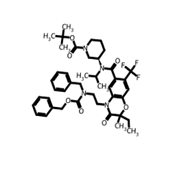 CCC1(C)Oc2cc(C(F)(F)F)c(C(=O)N(C(C)C)[C@@H]3CCCN(C(=O)OC(C)(C)C)C3)cc2N(CCN(Cc2ccccc2)C(=O)OCc2ccccc2)C1=O